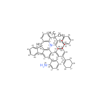 Cc1cccc2c1N(c1c3c(cc(-c4ccccc4N)c1-c1cc(C4=CCCCC4)cc(-c4ccccc4)c1)-c1ccccc1C3)C1=C(C=CCC1)C2(C)C